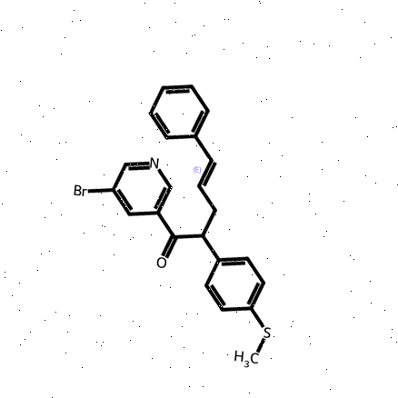 CSc1ccc(C(C/C=C/c2ccccc2)C(=O)c2cncc(Br)c2)cc1